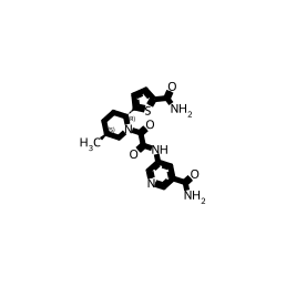 C[C@H]1CC[C@H](c2ccc(C(N)=O)s2)N(C(=O)C(=O)Nc2cncc(C(N)=O)c2)C1